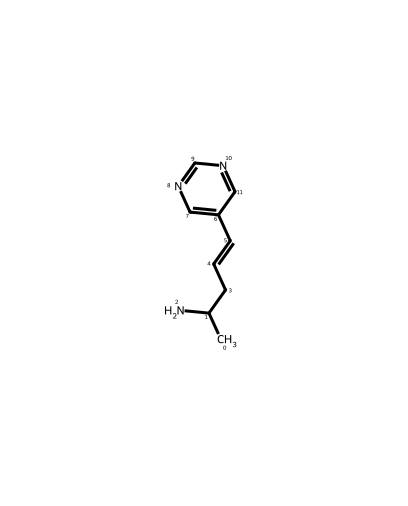 CC(N)CC=Cc1cncnc1